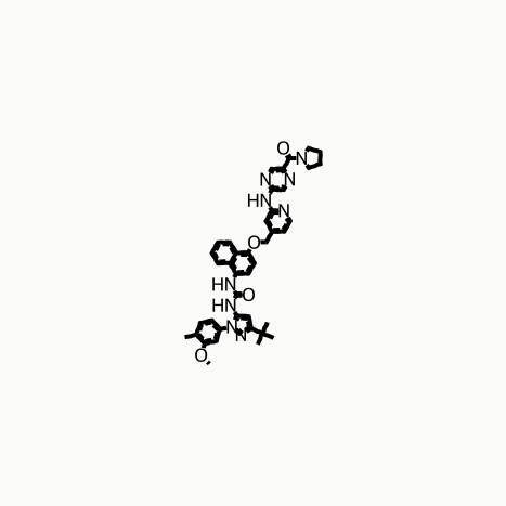 COc1cc(-n2nc(C(C)(C)C)cc2NC(=O)Nc2ccc(OCc3ccnc(Nc4cnc(C(=O)N5CCCC5)cn4)c3)c3ccccc23)ccc1C